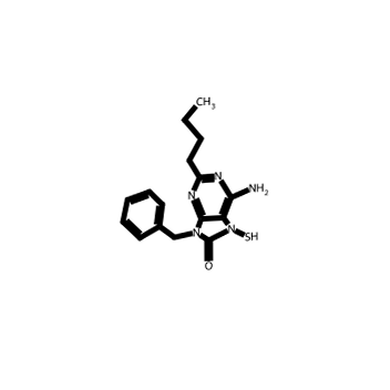 CCCCc1nc(N)c2c(n1)n(Cc1ccccc1)c(=O)n2S